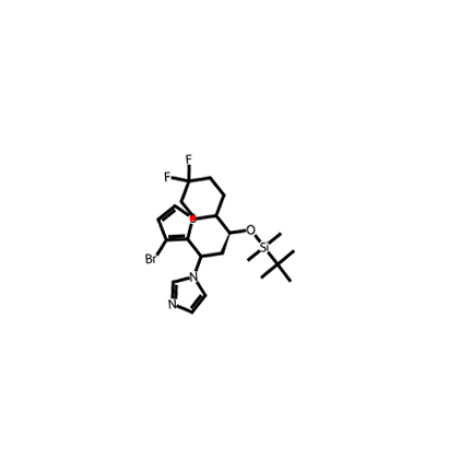 CC(C)(C)[Si](C)(C)O[C@@H](CC(c1sccc1Br)n1ccnc1)C1CCC(F)(F)CC1